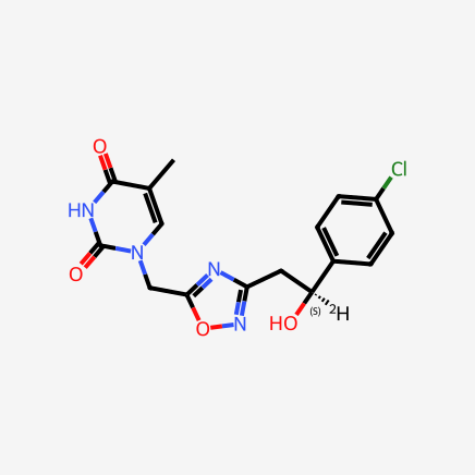 [2H][C@](O)(Cc1noc(Cn2cc(C)c(=O)[nH]c2=O)n1)c1ccc(Cl)cc1